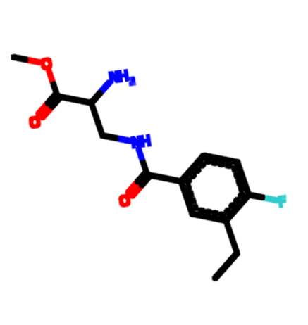 CCc1cc(C(=O)NCC(N)C(=O)OC)ccc1F